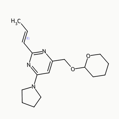 C/C=C/c1nc(COC2CCCCO2)cc(N2CCCC2)n1